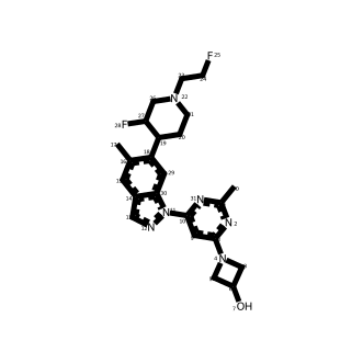 Cc1nc(N2CC(O)C2)cc(-n2ncc3cc(C)c(C4CCN(CCF)CC4F)cc32)n1